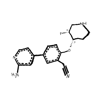 N#Cc1cc(-c2ccnc(N)c2)ccc1O[C@H]1CCNC[C@H]1F